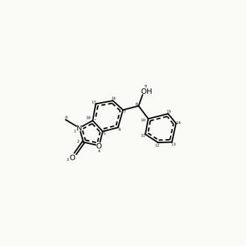 Cn1c(=O)oc2cc(C(O)c3ccccc3)ccc21